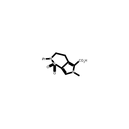 CC(C)N1CCc2c(cn(C)c2C(=O)O)S1(=O)=O